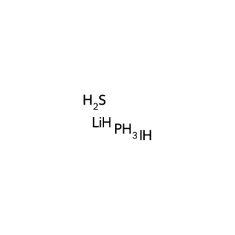 I.P.S.[LiH]